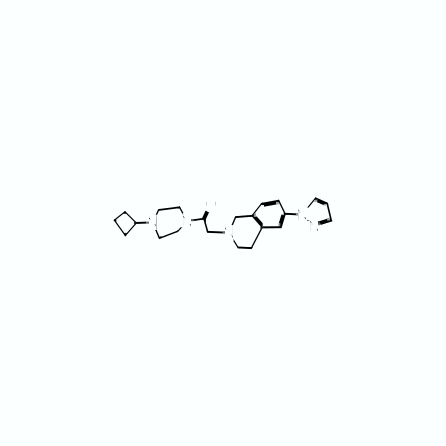 O=C(CN1CCc2cc(-n3cccn3)ccc2C1)N1CCN(C2CCC2)CC1